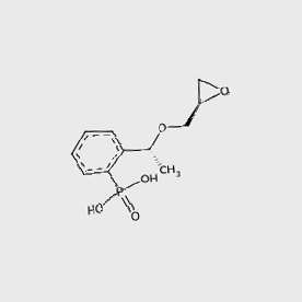 C[C@@H](OC[C@H]1CO1)c1ccccc1P(=O)(O)O